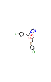 Clc1ccc(CC[C@@]2(Cn3ccnc3)OC[C@@H](CSc3ccc(Cl)cc3)O2)cc1